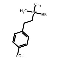 CCCCCCCCc1ccc(CC[N+](C)(C)CCCC)cc1